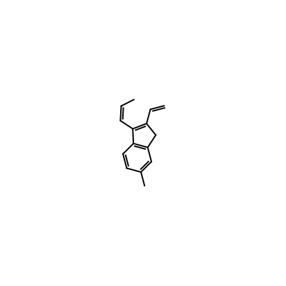 C=CC1=C(/C=C\C)c2ccc(C)cc2C1